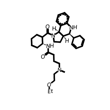 CCOCCN(C)CCCC(=O)N[C@@H]1CCCCC1C(=O)N1CC[C@@H]2[C@H](C3C=CC=CC3)Nc3ccccc3[C@@H]21